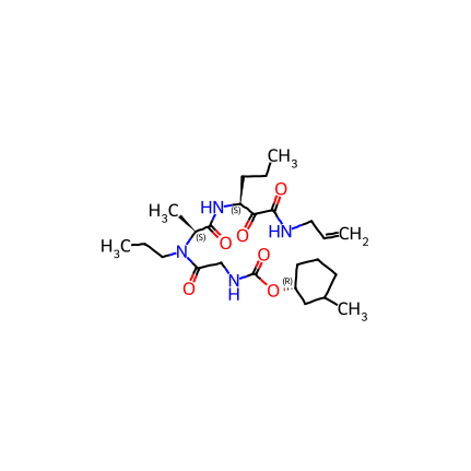 C=CCNC(=O)C(=O)[C@H](CCC)NC(=O)[C@H](C)N(CCC)C(=O)CNC(=O)O[C@@H]1CCCC(C)C1